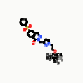 CC(C)(C)[Si](C)(C)OCCn1ccc(Cn2ncc3cc(S(=O)(=O)c4ccccc4)ccc3c2=O)n1